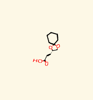 O=C(O)C=C[C@H]1COC2(CCCCC2)O1